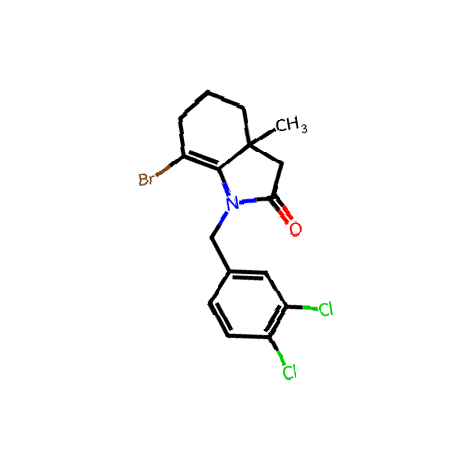 CC12CCCC(Br)=C1N(Cc1ccc(Cl)c(Cl)c1)C(=O)C2